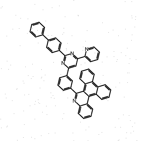 c1ccc(-c2ccc(-c3nc(-c4cccc(-c5nc6ccccc6c6c7ccccc7c7ccccc7c56)c4)cc(-c4ccccn4)n3)cc2)cc1